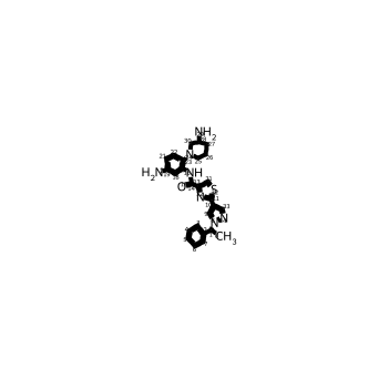 CC(c1ccccc1)n1cc(-c2nc(C(=O)Nc3cc(N)ccc3N3CCCC(N)C3)cs2)cn1